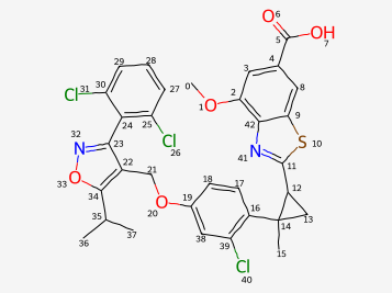 COc1cc(C(=O)O)cc2sc(C3CC3(C)c3ccc(OCc4c(-c5c(Cl)cccc5Cl)noc4C(C)C)cc3Cl)nc12